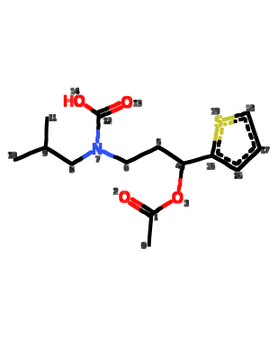 CC(=O)OC(CCN(CC(C)C)C(=O)O)c1cccs1